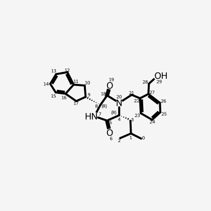 CC(C)C[C@@H]1C(=O)N[C@H](C2Cc3ccccc3C2)C(=O)N1Cc1ccccc1CO